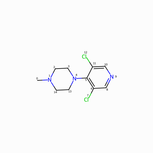 CN1CCN(c2c(Cl)cncc2Cl)CC1